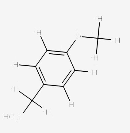 [2H]c1c([2H])c(C([2H])([2H])C(=O)O)c([2H])c([2H])c1OC([2H])([2H])[2H]